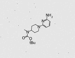 CN(C(=O)OC(C)(C)C)C1CCN(c2cccc(N)n2)CC1